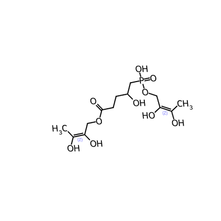 C/C(O)=C(/O)COC(=O)CCC(O)CP(=O)(O)OC/C(O)=C(\C)O